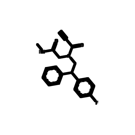 C#CC(=O)N(CC(=O)NC)CC(c1ccccc1)c1ccc(F)cc1